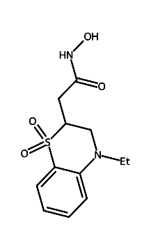 CCN1CC(CC(=O)NO)S(=O)(=O)c2ccccc21